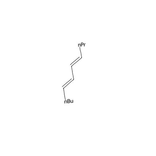 [CH2]CCC=CC=CCCCC